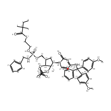 CCC(C)(C)C(=O)SCCOP(=O)(NCc1ccccc1)OC[C@H]1C[C@@H](n2ccc(NC(c3ccccc3)(c3ccc(OC)cc3)c3ccc(OC)cc3)nc2=O)[C@@](C)(OC(C)=O)C1OC(C)=O